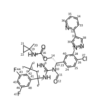 CC(C)(C)CC(C)(NC(=N)N(C=O)[C@H](COC(=O)NC1(C)CC1)c1ccc(Cl)c(-n2cc(-c3ccccn3)cn2)c1)c1cc(F)cc(F)c1